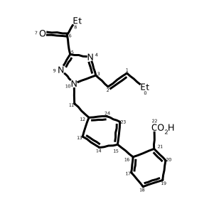 CCC=Cc1nc(C(=O)CC)nn1Cc1ccc(-c2ccccc2C(=O)O)cc1